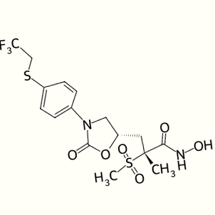 C[C@@](C[C@H]1CN(c2ccc(SCC(F)(F)F)cc2)C(=O)O1)(C(=O)NO)S(C)(=O)=O